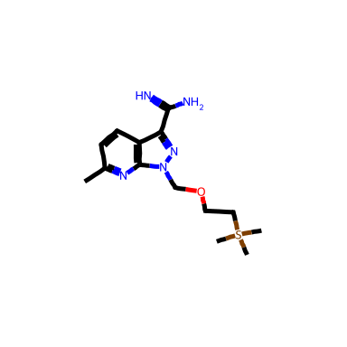 Cc1ccc2c(C(=N)N)nn(COCCS(C)(C)C)c2n1